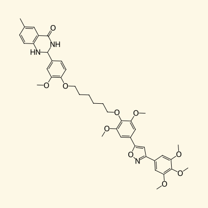 COc1cc(C2NC(=O)c3cc(C)ccc3N2)ccc1OCCCCCCOc1c(OC)cc(-c2cc(-c3cc(OC)c(OC)c(OC)c3)no2)cc1OC